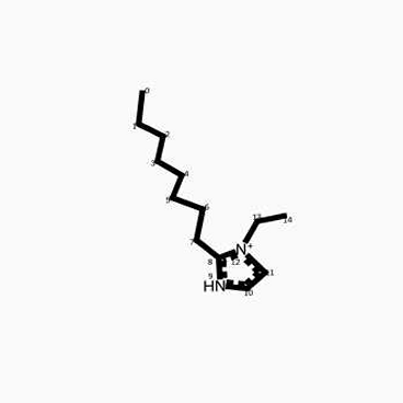 CCCCCCCCc1[nH]cc[n+]1CC